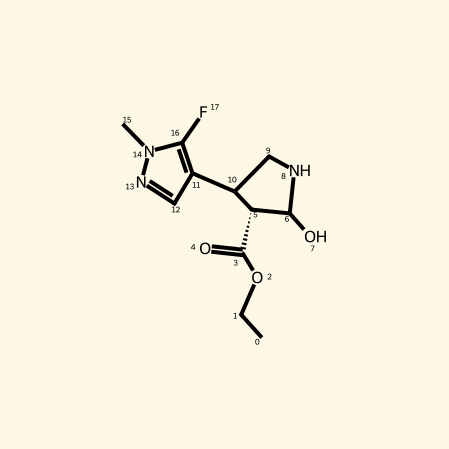 CCOC(=O)[C@H]1C(O)NCC1c1cnn(C)c1F